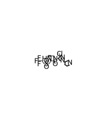 C#CCN(C(=O)C(=N)CS(=O)(=O)CCC(F)(F)F)c1cn(-c2cccnc2)nc1Cl